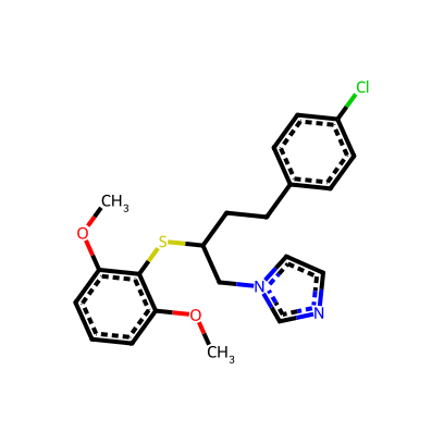 COc1cccc(OC)c1SC(CCc1ccc(Cl)cc1)Cn1ccnc1